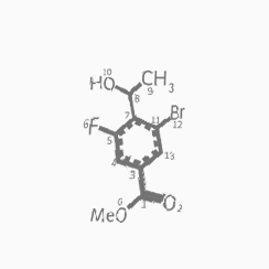 COC(=O)c1cc(F)c(C(C)O)c(Br)c1